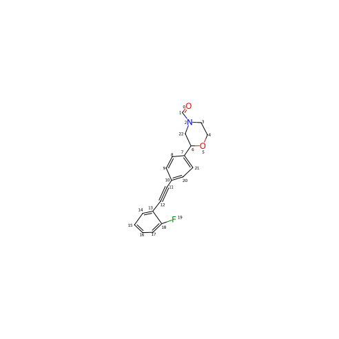 O=CN1CCOC(c2ccc(C#Cc3ccccc3F)cc2)C1